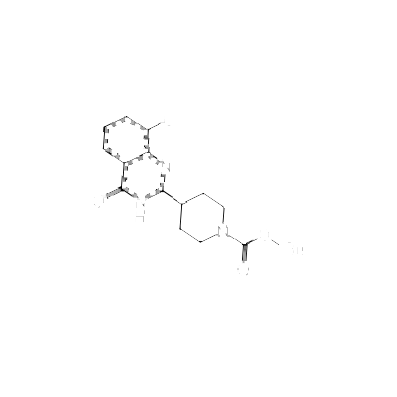 CC(C)(C)OC(=O)N1CCC(c2nc3c(Cl)cccc3c(=O)[nH]2)CC1